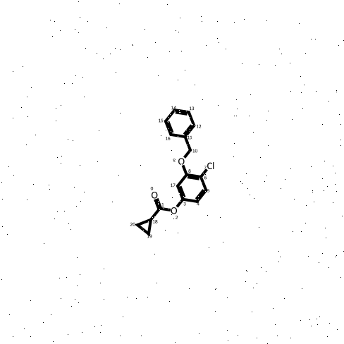 O=C(Oc1ccc(Cl)c(OCc2ccccc2)c1)C1CC1